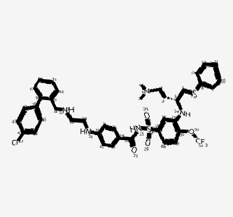 CN(C)CC[C@H](CSc1ccccc1)Nc1cc(S(=O)(=O)NC(=O)c2ccc(NCCNCc3ccccc3-c3ccc(Cl)cc3)cc2)ccc1OC(F)(F)F